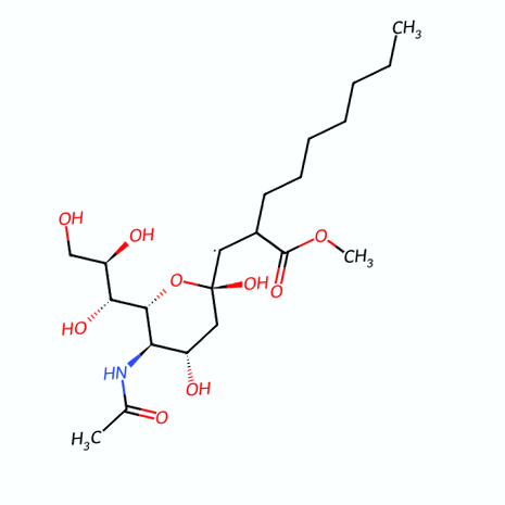 CCCCCCCC([CH][C@]1(O)C[C@H](O)[C@@H](NC(C)=O)[C@H]([C@H](O)[C@H](O)CO)O1)C(=O)OC